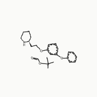 CC(C)(C)OC=O.c1ccc(Oc2cccc(OCC[C@@H]3CCCCN3)c2)cc1